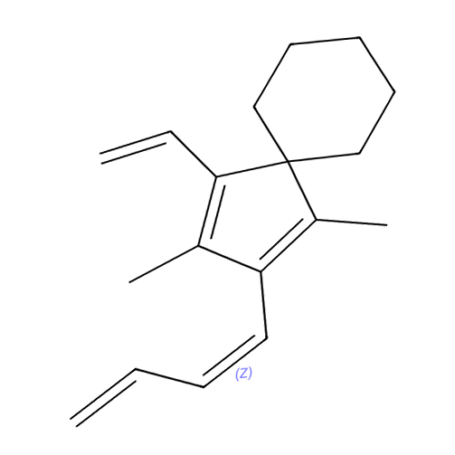 C=C/C=C\C1=C(C)C2(CCCCC2)C(C=C)=C1C